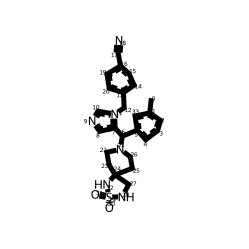 Cc1cccc(C(c2cncn2Cc2ccc(C#N)cc2)N2CCC3(CC2)CNS(=O)(=O)N3)c1